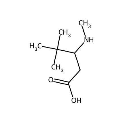 CNC(CC(=O)O)C(C)(C)C